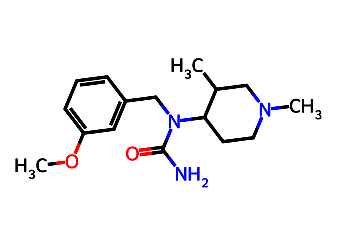 COc1cccc(CN(C(N)=O)C2CCN(C)CC2C)c1